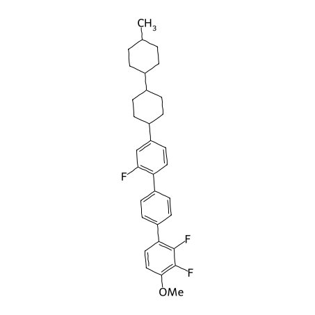 COc1ccc(-c2ccc(-c3ccc(C4CCC(C5CCC(C)CC5)CC4)cc3F)cc2)c(F)c1F